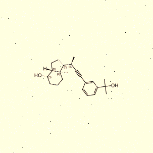 C[C@@H](C#Cc1cccc(C(C)(C)O)c1)[C@H]1CC[C@H]2[C@@H](O)CCC[C@]12C